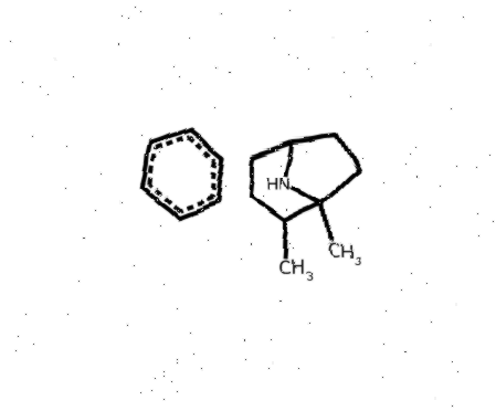 CC1CCC2CCC1(C)N2.c1ccccc1